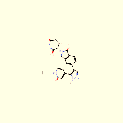 Cn1ncc(-c2ccc3c(c2)CN([C@H]2CCC(=O)NC2=O)C3=O)c1-c1ccn(C)c(=O)c1